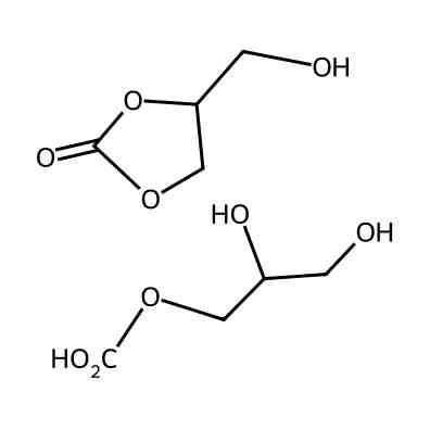 O=C(O)OCC(O)CO.O=C1OCC(CO)O1